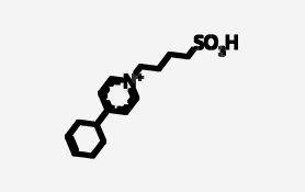 O=S(=O)(O)CCCC[n+]1ccc(C2CC=CCC2)cc1